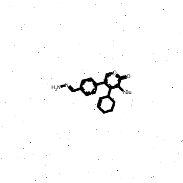 CCCCc1c(C2C=CCCC2)c(-c2ccc(C=NN)cc2)coc1=O